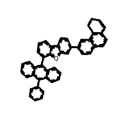 C1=Cc2ccc3ccc(-c4ccc5c(c4)oc4c(-c6c7ccccc7c(-c7ccccc7)c7ccccc67)cccc45)cc3c2CC1